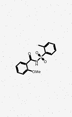 [CH2]c1ccccc1S(=O)(=O)NC(=O)c1ccccc1OC